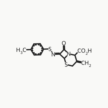 C=C1CSC2C(=NSc3ccc(C)cc3)C(=O)N2C1C(=O)O